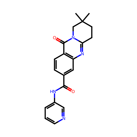 CC1(C)CCc2nc3cc(C(=O)Nc4cccnc4)ccc3c(=O)n2C1